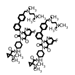 CN(C)CCN(C)Cc1ccc(-c2cccc(-n3c(=O)n([C@H]4CC[C@@H](NC(=O)C5(N(C)C)CC5)CC4)c(=O)c4cc(F)cnc43)c2)cc1.CN(C)CCN(C)Cc1ccc(-c2cccc(-n3c(=O)n([C@H]4CC[C@@H](NC(=O)C5(N(C)C)CC5)CC4)c(=O)c4cc(F)cnc43)c2)cc1